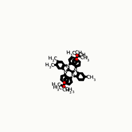 Cc1ccc2c(c1)N(c1ccc(C(C)C)cc1)C(C1N(c3ccc(C(C)C)cc3)c3cc(C)c(C)cc3N1c1ccc(C(C)C)cc1)N2c1ccc(C(C)C)cc1